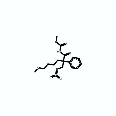 CNC(=S)NC(=O)C(CCCCOC)(CN=S(=O)=O)c1ccccc1